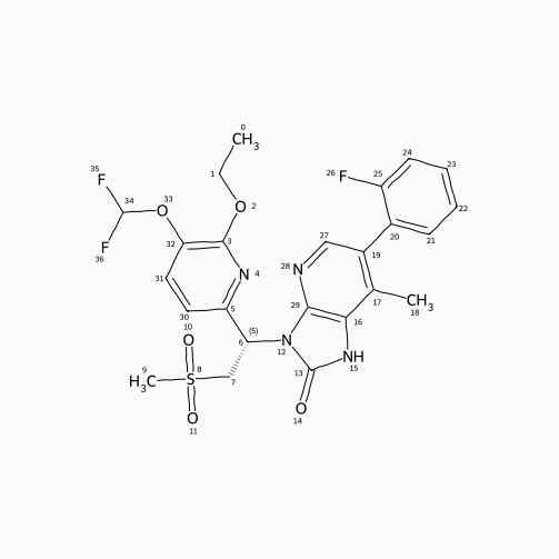 CCOc1nc([C@@H](CS(C)(=O)=O)n2c(=O)[nH]c3c(C)c(-c4ccccc4F)cnc32)ccc1OC(F)F